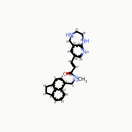 CN(Cc1ccc2c3c(cccc13)CC2)C(=O)/C=C/c1cnc2c(c1)CNCCN2